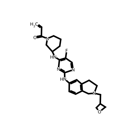 C=CC(=O)N1CCCC(Nc2nc(Nc3ccc4c(c3)CCN(CC3COC3)C4)ncc2F)C1